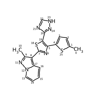 Cc1ccc(-c2nc(-c3c(C)nn4ccccc34)sc2-c2nc[nH]n2)s1